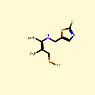 CCCSCC(=C(NC)NCc1cnc(Cl)s1)[N+](=O)[O-]